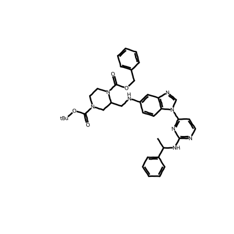 CC(Nc1nccc(-n2cnc3cc(NCC4CN(C(=O)OC(C)(C)C)CCN4C(=O)OCc4ccccc4)ccc32)n1)c1ccccc1